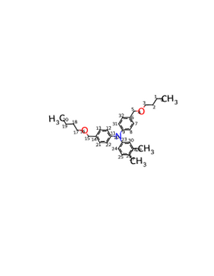 CCCCOCc1ccc(N(c2ccc(COCCCC)cc2)c2ccc(C)c(C)c2)cc1